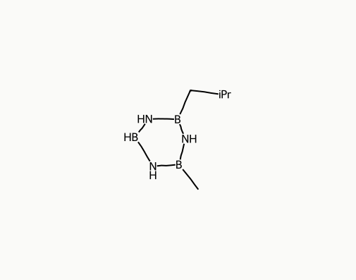 CB1NBNB(CC(C)C)N1